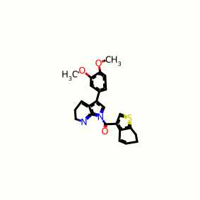 COc1ccc(-c2cn(C(=O)c3csc4c3C=CCC4)c3c2=CCCN=3)cc1OC